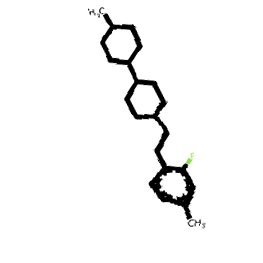 Cc1ccc(CCC2CCC(C3CCC(C)CC3)CC2)c(F)c1